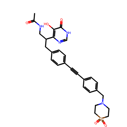 CC(=O)NCC(Cc1ccc(C#Cc2ccc(CN3CCS(=O)(=O)CC3)cc2)cc1)c1nc[nH]c(=O)c1O